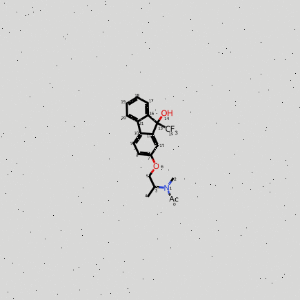 CC(=O)N(C)C(C)COc1ccc2c(c1)C(O)(C(F)(F)F)c1ccccc1-2